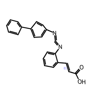 O=C(O)/C=C/c1ccccc1N=C=Nc1ccc(-c2ccccc2)cc1